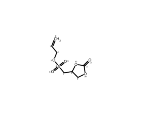 C=CCOS(=O)(=O)CC1COC(=O)O1